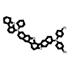 CC(C)c1ccc(N(c2ccc(C(C)C)cc2)c2ccc3cc4c(cc3c2)oc2ccc3c5cc6ccc(N(c7ccccc7)c7cccc8c7oc7ccccc78)cc6cc5oc3c24)cc1